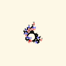 CCn1c(-c2cnccc2COC)c2c3cc(ccc31)-c1cc(O)cc(c1)C[C@H](NC(=O)[C@H](C(C)C)N(C)C(=O)CN(C)C(=O)[C@@H]1N[C@H]1COC)C(=O)N1CCC[C@H](N1)C(=O)OCC(C)(C)C2